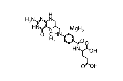 CN1c2c(nc(N)[nH]c2=O)NCC1CNc1ccc(C(=O)NC(CCC(=O)O)C(=O)O)cc1.[MgH2]